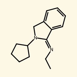 CCN=C1c2ccccc2CN1C1CCCC1